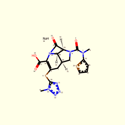 CN(C(=O)N1C[C@H]2CC(Sc3nnnn3C)=C(C(=O)O)N3C(=O)[C@@H]1[C@@H]23)c1cccs1.[NaH]